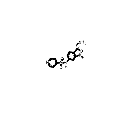 CB1O[C@@H](CN)c2ccc(NS(=O)(=O)c3ccncc3)cc21